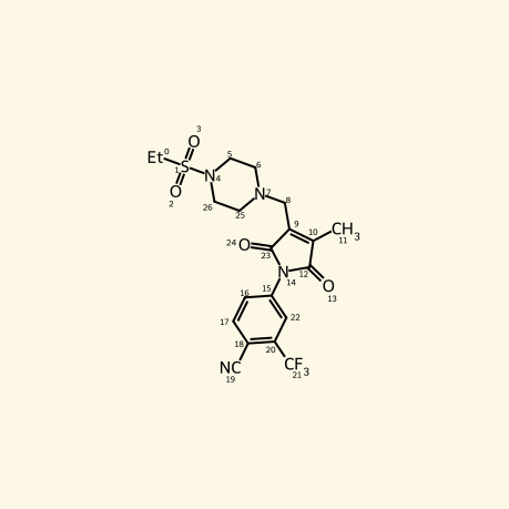 CCS(=O)(=O)N1CCN(CC2=C(C)C(=O)N(c3ccc(C#N)c(C(F)(F)F)c3)C2=O)CC1